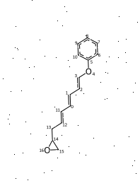 C(=CC=COc1ccccc1)C=CCC1CO1